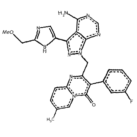 COCC1=NC=C(c2nn(Cc3nc4ccc(C)cn4c(=O)c3-c3cccc(F)c3)c3ncnc(N)c23)B1